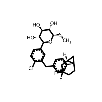 CS[C@H]1OC(c2ccc(Cl)c(Cc3ccc([C@@]45CCC(F)(F)C[C@@H]4C5)cc3)c2)[C@H](O)[C@@H](O)[C@@H]1O